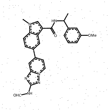 COc1cccc(C(C)NC(=O)c2cn(C)c3ccc(-c4ccn5nc(NC=O)nc5c4)cc23)c1